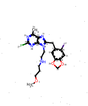 COCCCNCCn1c(Cc2cc3c(cc2I)OCO3)nc2c(C)nc(F)nc21